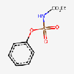 CCOC(=O)NS(=O)(=O)Oc1ccccc1